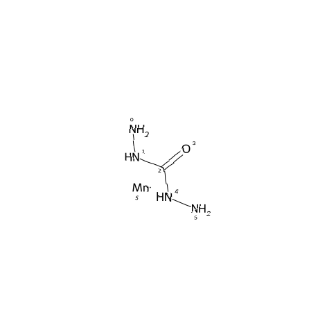 NNC(=O)NN.[Mn]